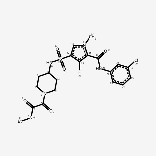 CCNC(=O)C(=O)N1CCC(NS(=O)(=O)c2cn(C)c(C(=O)Nc3cccc(Cl)c3)c2F)CC1